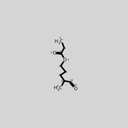 CCC(=O)OCCCC(C)[C]=O